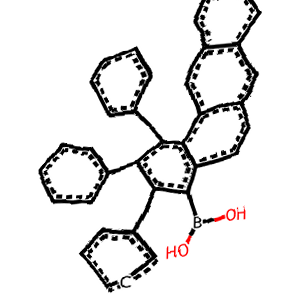 OB(O)c1c(-c2ccccc2)c(-c2ccccc2)c(-c2ccccc2)c2c1ccc1cc3ccccc3cc12